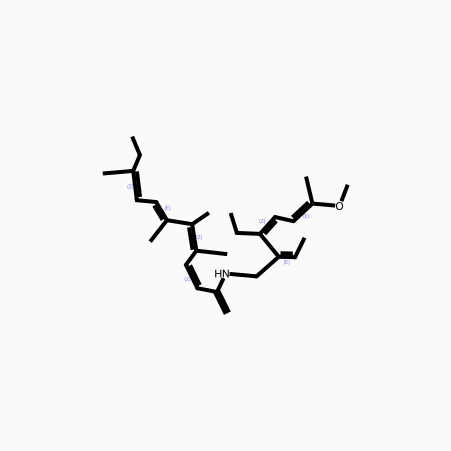 C=C(\C=C/C(C)=C(C)\C(C)=C\C=C(\C)CC)NCC(=C/C)/C(=C\C=C(/C)OC)CC